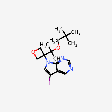 CC(C)(C)[SiH2]OC(C)(C)C1(n2cc(I)c3cncnc32)COC1